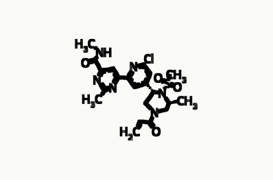 C=CC(=O)N1C[C@H](c2cc(Cl)nc(-c3cc(C(=O)NC)nc(C)n3)c2)N(S(C)(=O)=O)[C@@H](C)C1